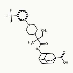 CCC(C)(C(=O)NC1C2CC3CC1CC(C(=O)O)(C3)C2)N1CCN(c2cccc(C(F)(F)F)c2)CC1